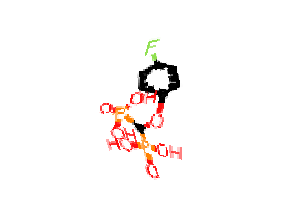 O=P(O)(O)C(Oc1ccc(F)cc1)P(=O)(O)O